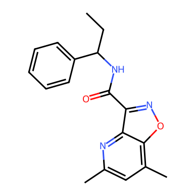 CCC(NC(=O)c1noc2c(C)cc(C)nc12)c1ccccc1